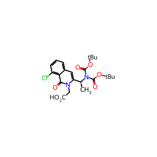 C[C@@H](c1cc2cccc(Cl)c2c(=O)n1CC(=O)O)N(C(=O)OC(C)(C)C)C(=O)OC(C)(C)C